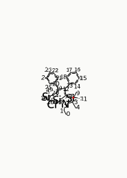 CCN(CC)[Si]1(Cl)C([Si](C)(C)C)=C(c2ccccc2)C(c2ccccc2)=C1[Si](C)(C)C